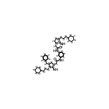 N=C1N(CC(=O)Nc2cccc(NC(=O)CN3CCN(CCCC4CCCCC4)S3=N)c2)CC(Cc2ccccc2)N1CCCC1CCCCC1